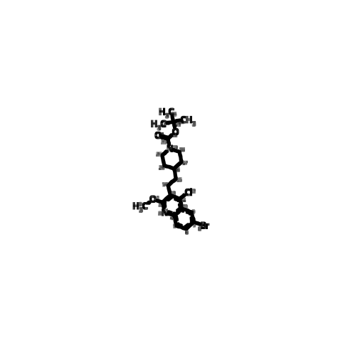 COc1nc2ccc(Br)cc2c(Cl)c1CCC1CCN(C(=O)OC(C)(C)C)CC1